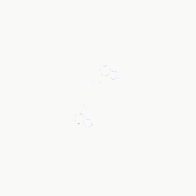 O=C(NC1CCC(/C=N/c2cccc3nc(C(F)(F)F)cn23)CC1)c1ccnc2[nH]ncc12